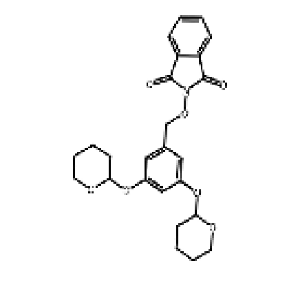 O=C1c2ccccc2C(=O)N1OCc1cc(OC2CCCCO2)cc(OC2CCCCO2)c1